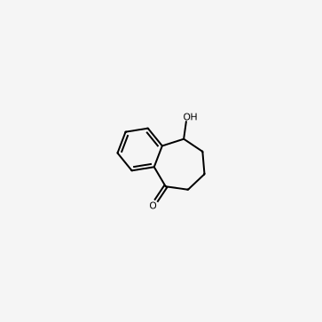 O=C1CCCC(O)c2ccccc21